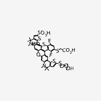 CN1c2cc3c(cc2-c2sc(SOOO)cc2C1(C)C)C(c1c(F)c(SCC(=O)O)cc(F)c1S(=O)(=O)O)=c1cc2c(cc1O3)=[N+](C)C(C)(C)c1cc(S(=O)(=O)O)sc1-2